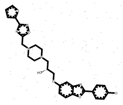 O[C@@H](COc1ccc2oc(-c3ccc(Cl)cc3)nc2c1)CN1CCN(Cc2nc(-c3cccs3)no2)CC1